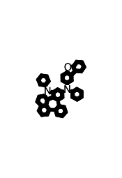 c1ccc(N(c2ccc3oc4ccccc4c3c2)c2cc3c4c5c6c(cccc6ccc5n(-c5ccccc5)c4c2)-c2ccccc2-3)cc1